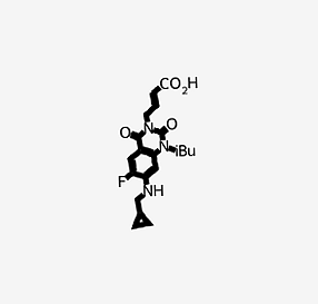 CCC(C)n1c(=O)n(C/C=C/C(=O)O)c(=O)c2cc(F)c(NCC3CC3)cc21